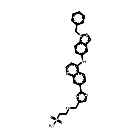 CS(=O)(=O)CCNCc1cnc(-c2ccc3c(Nc4ccc5c(cnn5Cc5ccccc5)c4)ccnc3c2)s1